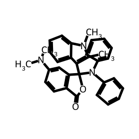 Cc1c(C2(N(c3ccccc3)c3ccccc3)OC(=O)c3ccc(N(C)C)cc32)c2ccccc2n1C